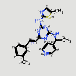 Cc1cnc(Nc2nc(/C=C/c3cccc(C(F)(F)F)c3)nc(NC(C)c3ccncc3)n2)s1